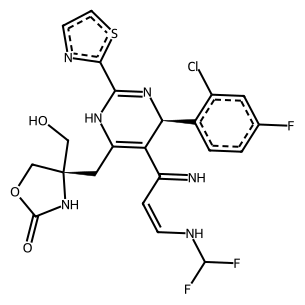 N=C(/C=C\NC(F)F)C1=C(C[C@]2(CO)COC(=O)N2)NC(c2nccs2)=N[C@H]1c1ccc(F)cc1Cl